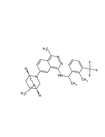 Cc1c(C(C)Nc2nnc(C)c3ccc(N4C[C@@H]5CC[C@H]4CN5C)cc23)cccc1C(F)(F)F